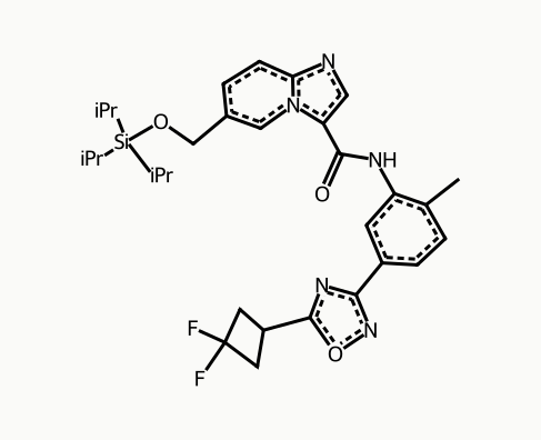 Cc1ccc(-c2noc(C3CC(F)(F)C3)n2)cc1NC(=O)c1cnc2ccc(CO[Si](C(C)C)(C(C)C)C(C)C)cn12